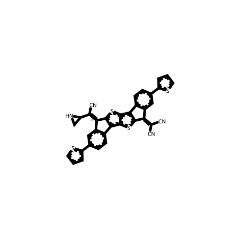 N#CC(C#N)=C1c2cc(-c3cccs3)ccc2-c2c1sc1c3c(sc21)/C(=C(\C#N)C1CN1)c1cc(-c2cccs2)ccc1-3